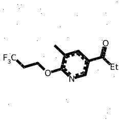 CCC(=O)c1cnc(OCCC(F)(F)F)c(C)c1